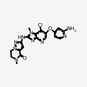 CN1CCn2nc(Nc3nc4ncc(Oc5ccnc(N)c5)c(Cl)c4n3C)cc2C1=O